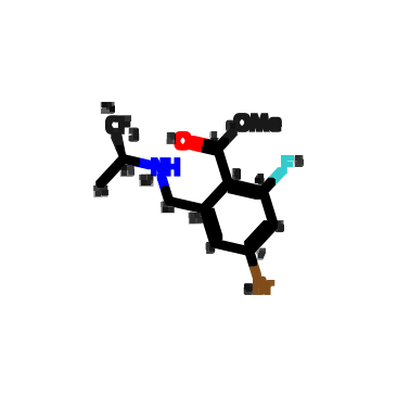 COC(=O)c1c(F)cc(Br)cc1CN[C@@H](C)C(F)(F)F